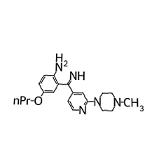 CCCOc1ccc(N)c(C(=N)c2ccnc(N3CCN(C)CC3)c2)c1